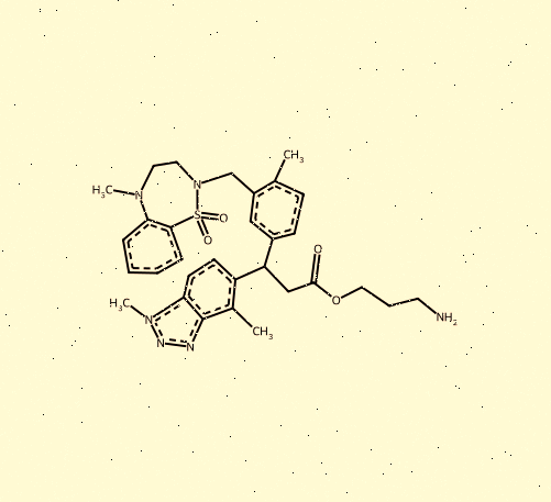 Cc1ccc(C(CC(=O)OCCCN)c2ccc3c(nnn3C)c2C)cc1CN1CCN(C)c2ccccc2S1(=O)=O